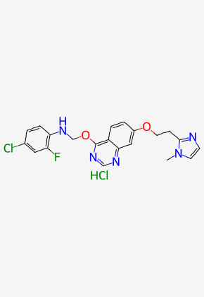 Cl.Cn1ccnc1CCOc1ccc2c(OCNc3ccc(Cl)cc3F)ncnc2c1